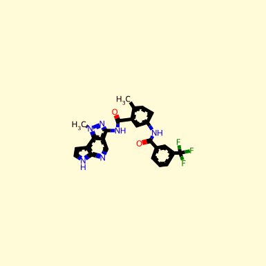 Cc1ccc(NC(=O)c2cccc(C(F)(F)F)c2)cc1C(=O)Nc1nn(C)c2c1cnc1[nH]ccc12